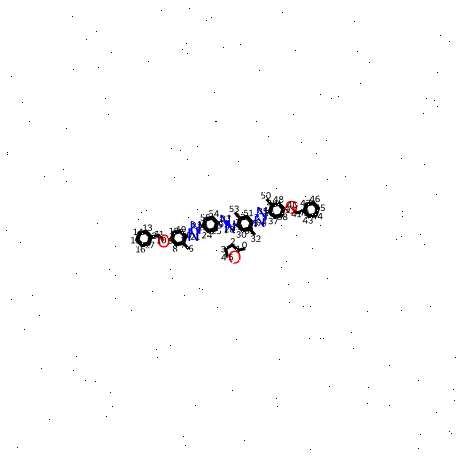 CC1CCCO1.Cc1cc(OCc2ccccc2)ccc1N=Nc1ccc(N=Nc2cc(C)c(N=Nc3ccc(OCc4ccccc4)cc3C)cc2C)cc1